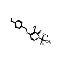 CC(C)(C)n1ncc(OCc2ccc(CF)cc2)c(Cl)c1=O